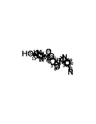 CO[C@@H]1CC[C@@]2(CN(c3cnc(C(C)(C)O)cn3)C(=O)O2)C[C@@]1(C)Cn1cnc2ccc(C#N)cc21